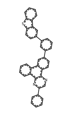 c1ccc(-c2cnc3c4ccc(-c5cccc(-c6ccc7sc8ccccc8c7c6)c5)cc4c4ccccc4c3n2)cc1